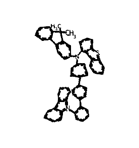 CC1(C)c2ccccc2-c2ccc(N(c3ccc(-c4ccc(-c5ccccc5-n5c6ccccc6c6ccccc65)cc4)cc3)c3cccc4sc5ccccc5c34)cc21